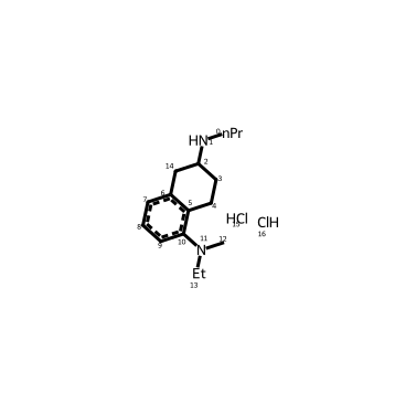 CCCNC1CCc2c(cccc2N(C)CC)C1.Cl.Cl